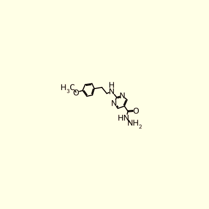 COc1ccc(CCNc2ncc(C(=O)NN)cn2)cc1